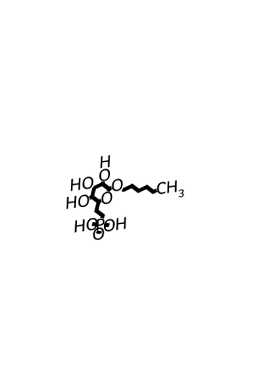 CCCCCCOC1OC(CCP(=O)(O)O)C(O)C(O)C1O